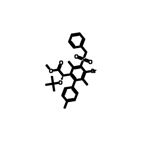 COC(=O)[C@@H](OC(C)(C)C)c1c(C)c(S(=O)(=O)Cc2ccccc2)c(Br)c(C)c1-c1ccc(C)cc1